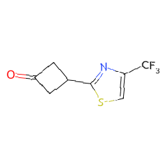 O=C1CC(c2nc(C(F)(F)F)cs2)C1